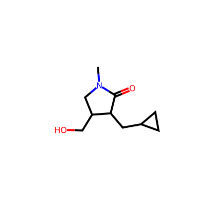 CN1CC(CO)C(CC2CC2)C1=O